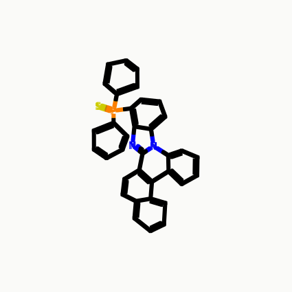 S=P(c1ccccc1)(c1ccccc1)c1cccc2c1nc1c3ccc4ccccc4c3c3ccccc3n21